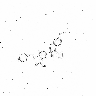 CSc1ccc(N(C2CCC2)S(=O)(=O)c2ccc(OCC3CCOCC3)c(C(=O)O)c2)c(C)c1